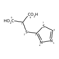 O=C(O)C(Sc1nncs1)C(=O)O